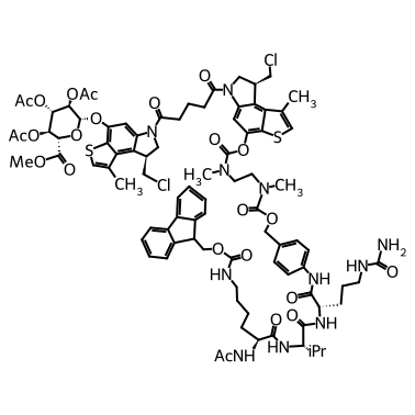 COC(=O)[C@H]1O[C@@H](Oc2cc3c(c4c(C)csc24)[C@H](CCl)CN3C(=O)CCCC(=O)N2C[C@@H](CCl)c3c2cc(OC(=O)N(C)CCN(C)C(=O)OCc2ccc(NC(=O)[C@H](CCCNC(N)=O)NC(=O)[C@@H](NC(=O)[C@H](CCCCNC(=O)OCC4c5ccccc5-c5ccccc54)NC(C)=O)C(C)C)cc2)c2scc(C)c32)[C@H](OC(C)=O)[C@@H](OC(C)=O)[C@@H]1OC(C)=O